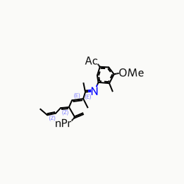 C=C(CCC)C(=C\C=C/C)/C=C(C)/C(C)=N/c1cc(C(C)=O)cc(OC)c1C